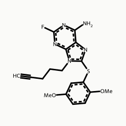 C#CCCCn1c(Sc2cc(OC)ccc2OC)nc2c(N)nc(F)nc21